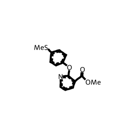 COC(=O)c1cccnc1Oc1ccc(SC)cc1